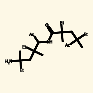 CCC(C)(N)CC(C)(CC)C(NC(=O)C(C)(CC)CC(C)(CC)C(C)=O)C(C)=O